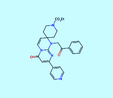 CCOC(=O)N1CCC2(C=Cn3c(nc(-c4ccncc4)cc3=O)N2CC(=O)c2ccccc2)CC1